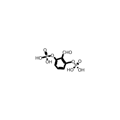 O=Cc1c(OP(=O)(O)O)cccc1OP(=O)(O)O